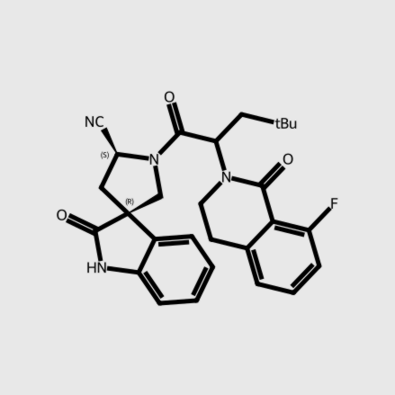 CC(C)(C)CC(C(=O)N1C[C@]2(C[C@H]1C#N)C(=O)Nc1ccccc12)N1CCc2cccc(F)c2C1=O